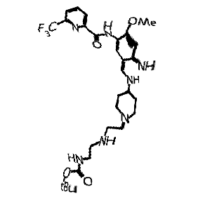 COC1=CC(=N)/C(=C\NC2CCN(CCNCCNC(=O)OC(C)(C)C)CC2)C=C1NC(=O)c1cccc(C(F)(F)F)n1